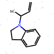 C=CC(C#N)N1CCc2ccccc21